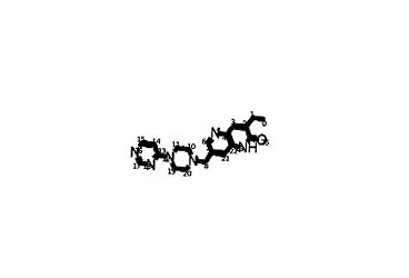 CCc1cc2ncc(CN3CCN(c4ccncn4)CC3)cc2[nH]c1=O